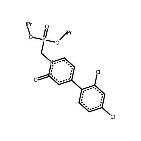 CC(C)OP(=O)(Cn1ccc(-c2ccc(Cl)cc2Cl)cc1=O)OC(C)C